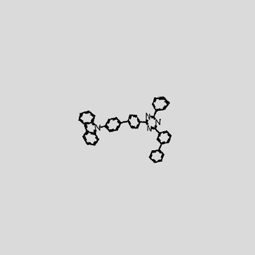 c1ccc(-c2cccc(-c3nc(-c4ccccc4)nc(-c4ccc(-c5ccc(-n6c7ccccc7c7ccccc76)cc5)cc4)n3)c2)cc1